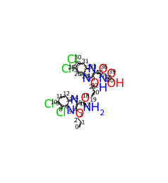 C=CCOc1nc2c(Cl)c(Cl)ccc2nc1C(N)=O.C=CCOc1nc2cc(Cl)c(Cl)cc2nc1C(=O)NC(=O)O